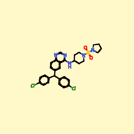 O=S(=O)(N1CCCC1)N1CCC(Nc2ncnc3ccc(C(c4ccc(Cl)cc4)c4ccc(Cl)cc4)cc23)CC1